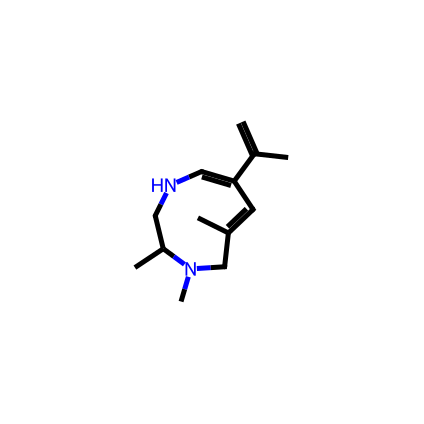 C=C(C)C1=C/NCC(C)N(C)C\C(C)=C\1